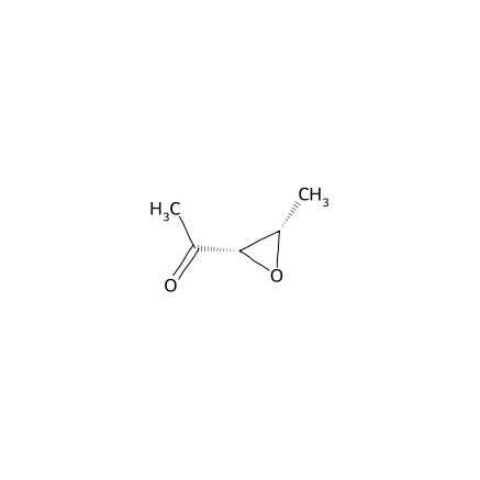 CC(=O)[C@H]1O[C@H]1C